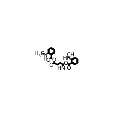 CNc1ccccc1C(=O)OC(=N)CCC(=O)OC(=O)c1ccccc1NC